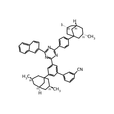 C[C@@H]1C[C@@H]2C[C@H](C)CC(c3cc(-c4cccc(C#N)c4)cc(-c4nc(-c5ccc(C67C[C@@H](C)C[C@@H](C[C@@H](I)C6)C7)cc5)nc(-c5ccc6ccccc6c5)n4)c3)(C1)C2